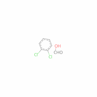 Clc1ccccc1Cl.O=CO